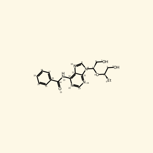 CC[C@H](CO)O[C@H](CO)n1cnc2c(NC(=O)c3ccccc3)ncnc21